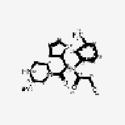 CC(C)[C@H]1CN(C(=O)[C@@H](C2CC=CS2)N(C(=O)CCl)c2cccc(C(F)(F)F)c2)CCN1